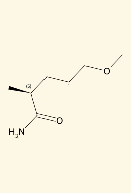 COC[CH]C[C@H](C)C(N)=O